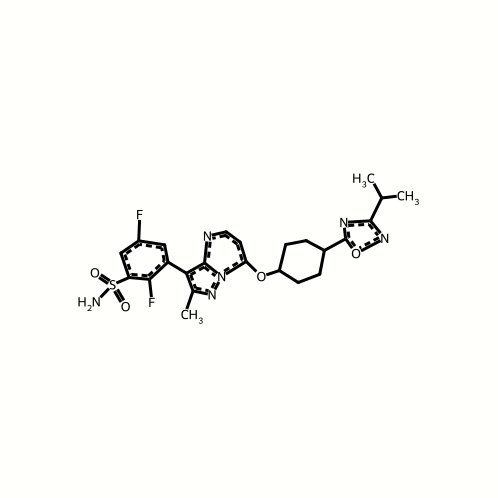 Cc1nn2c(OC3CCC(c4nc(C(C)C)no4)CC3)ccnc2c1-c1cc(F)cc(S(N)(=O)=O)c1F